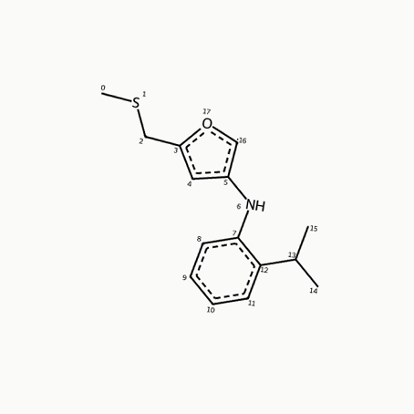 CSCc1cc(Nc2ccccc2C(C)C)[c]o1